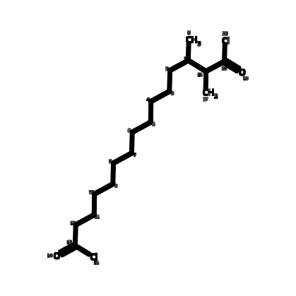 CC(CCCCCCCCCCCC(=O)Cl)C(C)C(=O)Cl